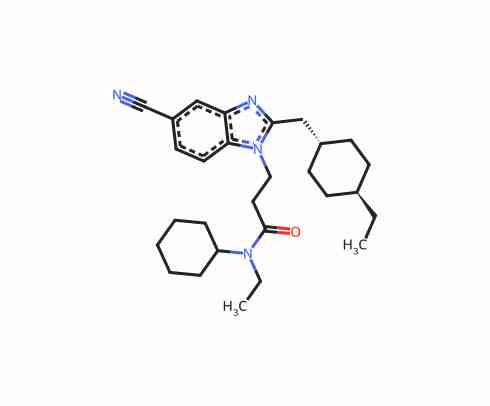 CCN(C(=O)CCn1c(C[C@H]2CC[C@H](CC)CC2)nc2cc(C#N)ccc21)C1CCCCC1